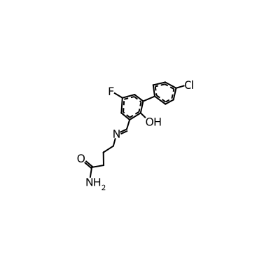 NC(=O)CCCN=Cc1cc(F)cc(-c2ccc(Cl)cc2)c1O